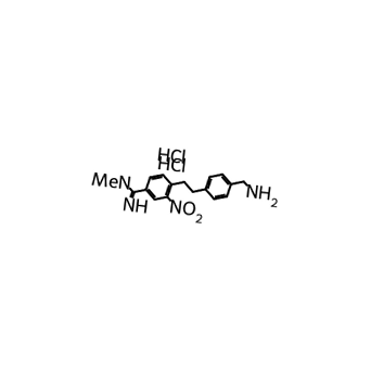 CNC(=N)c1ccc(CCc2ccc(CN)cc2)c([N+](=O)[O-])c1.Cl.Cl